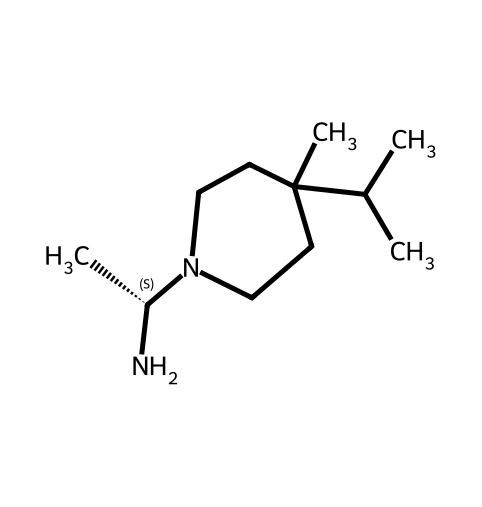 CC(C)C1(C)CCN([C@@H](C)N)CC1